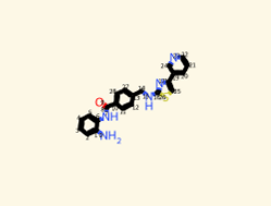 Nc1ccccc1NC(=O)c1ccc(CNc2nc(-c3cccnc3)cs2)cc1